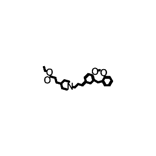 CCOC(=O)CCC1CCN(CCC=C2C=CC3=C(C2)Cc2ccccc2OCO3)CC1